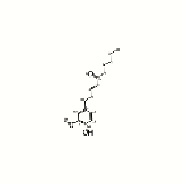 CCCCCC(=O)/C=C/CCc1ccc(O)c(OC)c1